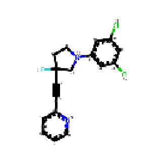 FC1(C#Cc2ccccn2)CCN(c2cc(Cl)cc(Cl)c2)C1